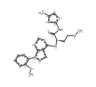 COCC[C@@H](Oc1ncnc2c1cnn2-c1ccccc1OC)C(=O)Nc1nc(C)cs1